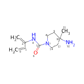 C=CC(=C)NC(=O)N1CCC(C)(N)CC1